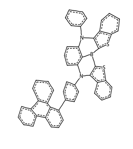 c1ccc(N2c3cccc4c3B(c3sc5ccccc5c32)c2sc3ccccc3c2N4c2ccc(-c3cccc4c5ccccc5c5ccccc5c34)cc2)cc1